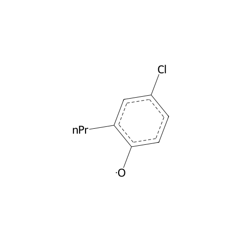 CCCc1cc(Cl)ccc1[O]